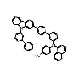 Cc1ccc(N(c2cccc(-c3ccc(-c4ccc5c6ccccc6n(-c6cccc(-c7ccccc7)c6)c5c4)cc3)c2)c2cccc3ccccc23)cc1